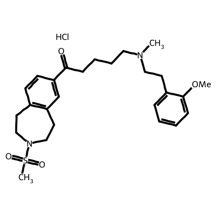 COc1ccccc1CCN(C)CCCCC(=O)c1ccc2c(c1)CCN(S(C)(=O)=O)CC2.Cl